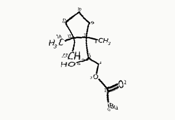 CCC(C)C(=O)OCC(O)C1(C)CCCC1(C)C